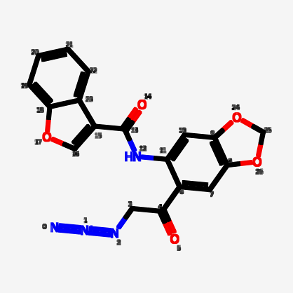 [N-]=[N+]=NCC(=O)c1cc2c(cc1NC(=O)c1coc3ccccc13)OCO2